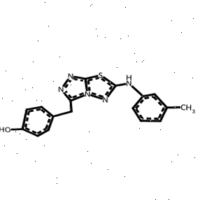 Cc1cccc(Nc2nn3c(Cc4ccc(O)cc4)nnc3s2)c1